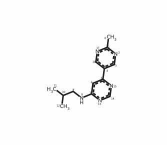 Cc1ncc(-c2cc(NCC(C)C)ncn2)cn1